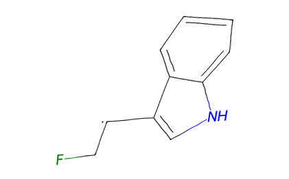 FC[CH]c1c[nH]c2ccccc12